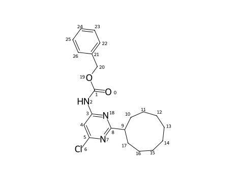 O=C(Nc1cc(Cl)nc(C2CCCCCCCC2)n1)OCc1ccccc1